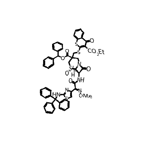 CCOC(=O)c1c(SCC2(C(=O)OC(c3ccccc3)c3ccccc3)CN3C(=O)C(NC(=O)C(=NOC)c4csc(NC(c5ccccc5)(c5ccccc5)c5ccccc5)n4)[C@H]3[S+]([O-])C2)sc2ccccc2c1=O